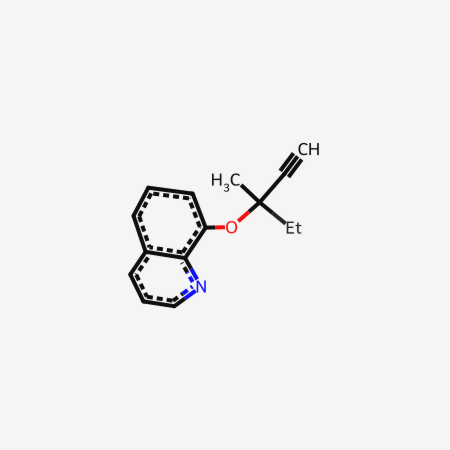 C#CC(C)(CC)Oc1cccc2cccnc12